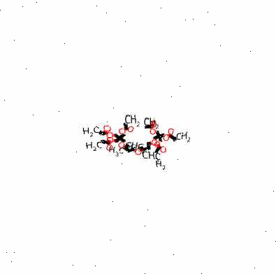 C=CC(=O)OCC(COCCC(C)(C)OCCC(C)(C)OCC(COC(=O)C=C)(COC(=O)C=C)COC(=O)C=C)(COC(=O)C=C)COC(=O)C=C